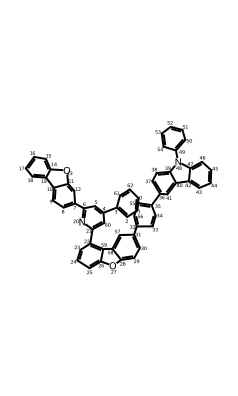 c1ccc(-c2cc(-c3ccc4c(c3)oc3ccccc34)nc(-c3cccc4oc5ccc(-c6ccc(-c7ccc8c(c7)c7ccccc7n8-c7ccccc7)cc6)cc5c34)c2)cc1